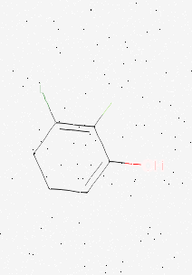 OC1=CC[CH]C(Cl)=C1F